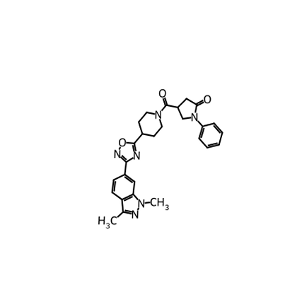 Cc1nn(C)c2cc(-c3noc(C4CCN(C(=O)C5CC(=O)N(c6ccccc6)C5)CC4)n3)ccc12